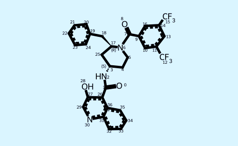 O=C(N[C@H]1CCN(C(=O)c2cc(C(F)(F)F)cc(C(F)(F)F)c2)[C@H](Cc2ccccc2)C1)c1c(O)cnc2ccccc12